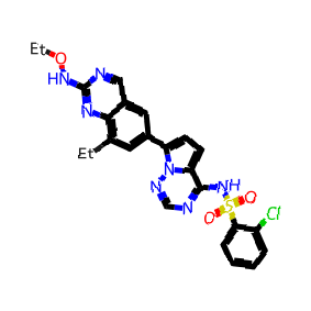 CCONc1ncc2cc(-c3ccc4c(NS(=O)(=O)c5ccccc5Cl)ncnn34)cc(CC)c2n1